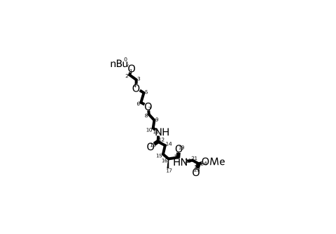 CCCCOCCOCCOCCCNC(=O)CC[C@H](C)C(=O)NCC(=O)OC